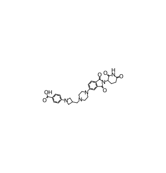 O=C1CCC(N2C(=O)c3ccc(N4CCN(CC5CN(c6ccc(C(=O)O)cc6)C5)CC4)cc3C2=O)C(=O)N1